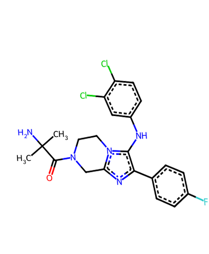 CC(C)(N)C(=O)N1CCn2c(nc(-c3ccc(F)cc3)c2Nc2ccc(Cl)c(Cl)c2)C1